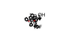 C[C@H]1CC[C@]2(Cc3nc(OC[C@@]45CCCN4C[C@H](F)C5)cc(N4CC[C@@H]4CO)c3CO2)c2c1ccc(N(Cc1ccccc1)Cc1ccccc1)c2C#N